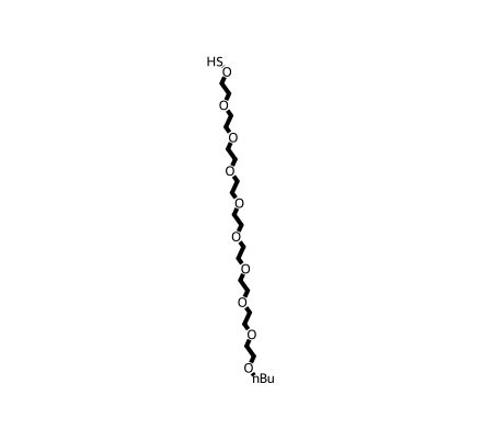 CCCCOCCOCCOCCOCCOCCOCCOCCOCCOCCOS